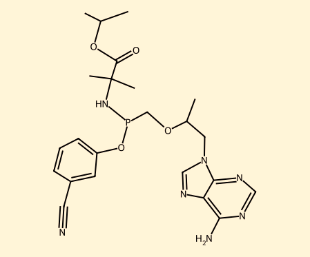 CC(C)OC(=O)C(C)(C)NP(COC(C)Cn1cnc2c(N)ncnc21)Oc1cccc(C#N)c1